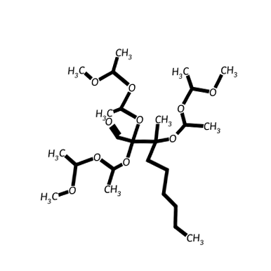 CCCCCCC(C)(OC(C)OC(C)OC)C(C=O)(OC(C)OC(C)OC)OC(C)OC(C)OC